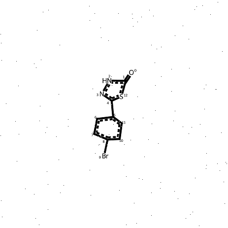 O=c1[nH]nc(-c2ccc(Br)cc2)s1